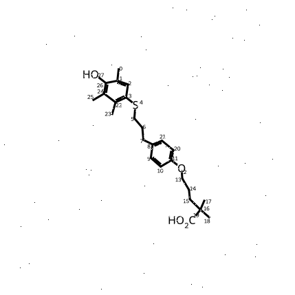 Cc1cc(SCCCc2ccc(OCCCC(C)(C)C(=O)O)cc2)c(C)c(C)c1O